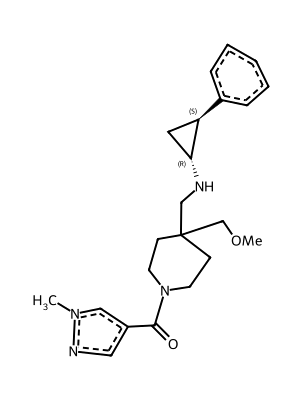 COCC1(CN[C@@H]2C[C@H]2c2ccccc2)CCN(C(=O)c2cnn(C)c2)CC1